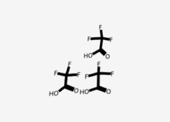 O=C(O)C(F)(F)F.O=C(O)C(F)(F)F.O=C(O)C(F)(F)F